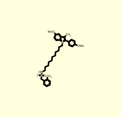 COc1ccc(-c2c(C)c3cc(OC)ccc3n2CCCCCCCCCCCNS(=O)(=O)Cc2ccccc2C)cc1